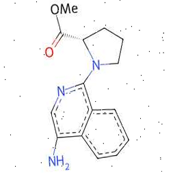 COC(=O)[C@@H]1CCCN1c1ncc(N)c2ccccc12